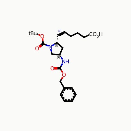 CC(C)(C)OC(=O)N1C[C@H](NC(=O)OCc2ccccc2)C[C@H]1/C=C\CCCC(=O)O